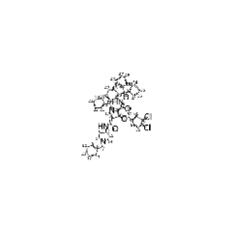 O=C(NC1CCN(Cc2ccccc2)CC1)c1cn(Cc2ccccc2)c(C(=O)NOC(c2ccccc2)(c2ccccc2)c2ccccc2)c1OCc1ccc(Cl)c(Cl)c1